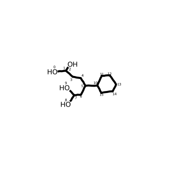 OC(O)CCC(CC(O)O)C1CCCCC1